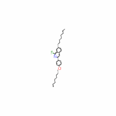 CCCCCCCCOc1ccc(-c2cc3ccc(CCCCCCCC)cc3c(F)n2)cc1